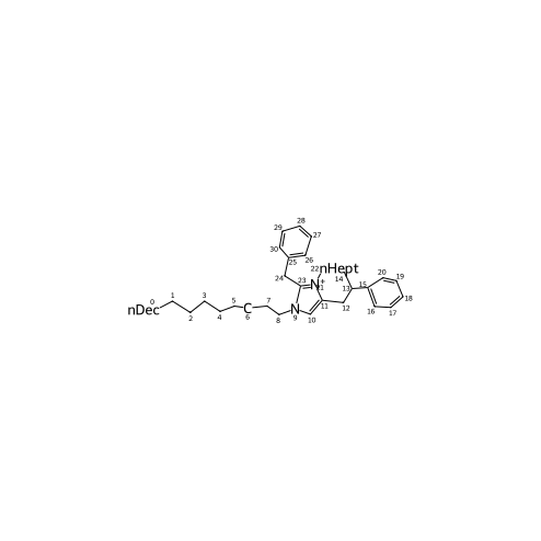 CCCCCCCCCCCCCCCCCCn1cc(CC(C)c2ccccc2)[n+](CCCCCCC)c1Cc1ccccc1